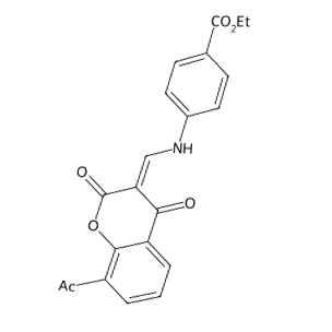 CCOC(=O)c1ccc(NC=C2C(=O)Oc3c(C(C)=O)cccc3C2=O)cc1